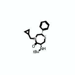 CC(C)(C)N[C@@H]1CS[C@@H](c2ccccc2)CN(CC2CC2)C1=O